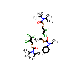 CC(C)N(C(=O)SCC(Cl)=C(Cl)Cl)C(C)C.CC(C)N(C(=O)SCC(Cl)=CCl)C(C)C.CCSC(=O)N(CC)C1CCCCC1